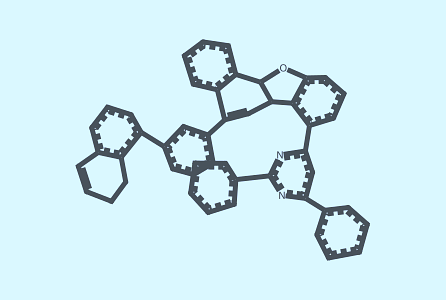 C1=Cc2cccc(-c3cccc(C4=CC5c6c(cccc6-c6cc(-c7ccccc7)nc(-c7ccccc7)n6)OC5c5ccccc54)c3)c2CC1